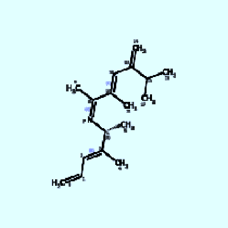 C=C/C=C(\C)[C@@H](C)/N=C(C)\C(C)=C\C(=C)C(C)C